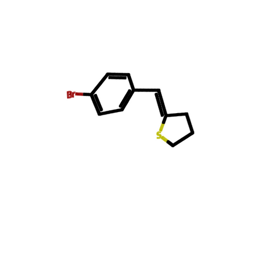 Brc1ccc(C=C2CCCS2)cc1